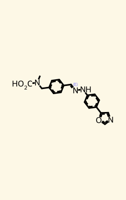 CN(Cc1ccc(/C=N/Nc2ccc(-c3cnco3)cc2)cc1)C(=O)O